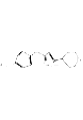 COc1ccc(Cc2cc(C3CCNCC3)[nH]n2)cc1